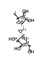 C[C@@H]1O[C@@H](CO[C@@H]2O[C@@H](CO)C(O)[C@@H]2O)C(O)[C@@H]1O